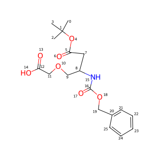 CC(C)(C)OC(=O)CC(COCC(=O)O)NC(=O)OCc1ccccc1